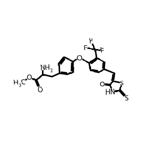 COC(=O)C(N)Cc1ccc(Oc2ccc(C=C3SC(=S)NC3=O)cc2C(F)(F)F)cc1